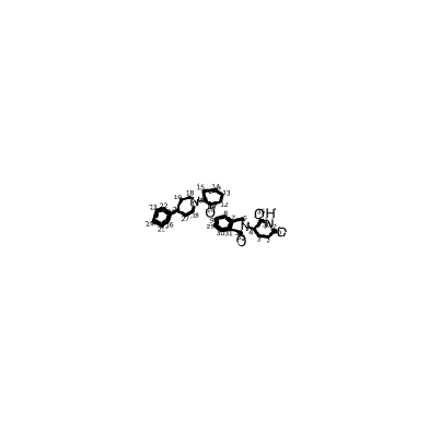 O=C1CCC(N2Cc3cc(O[C@H]4CCCC[C@@H]4N4CCC(c5ccccc5)CC4)ccc3C2=O)C(=O)N1